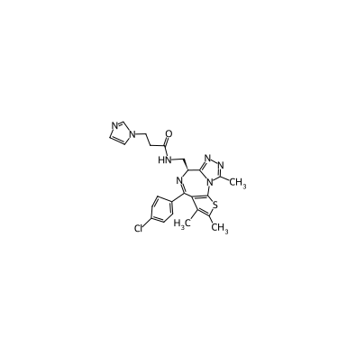 Cc1sc2c(c1C)C(c1ccc(Cl)cc1)=N[C@@H](CNC(=O)CCn1ccnc1)c1nnc(C)n1-2